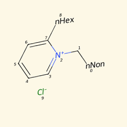 CCCCCCCCCC[n+]1ccccc1CCCCCC.[Cl-]